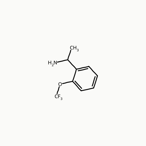 CC(N)c1ccccc1OC(F)(F)F